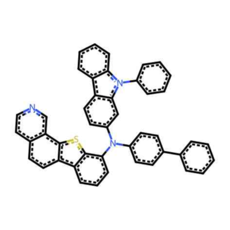 c1ccc(-c2ccc(N(c3ccc4c5ccccc5n(-c5ccccc5)c4c3)c3cccc4c3sc3c5cnccc5ccc43)cc2)cc1